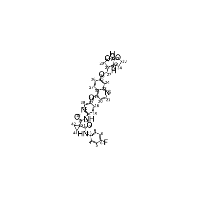 O=C(Nc1ccc(F)cc1)C1(C(=O)Nc2ccc(Oc3ccnc4cc(OCC5CO[C@@H]6OCC[C@H]56)ccc34)cn2)CC1